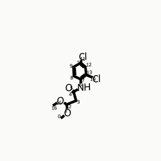 COC(CC(=O)Nc1ccc(Cl)cc1Cl)OC